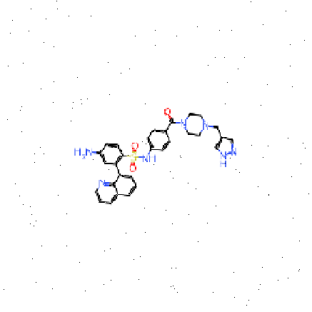 Nc1ccc(S(=O)(=O)Nc2ccc(C(=O)N3CCN(Cc4cn[nH]c4)CC3)cc2)c(-c2cccc3cccnc23)c1